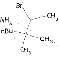 CCCCC(C)(C)C(C)Br.N